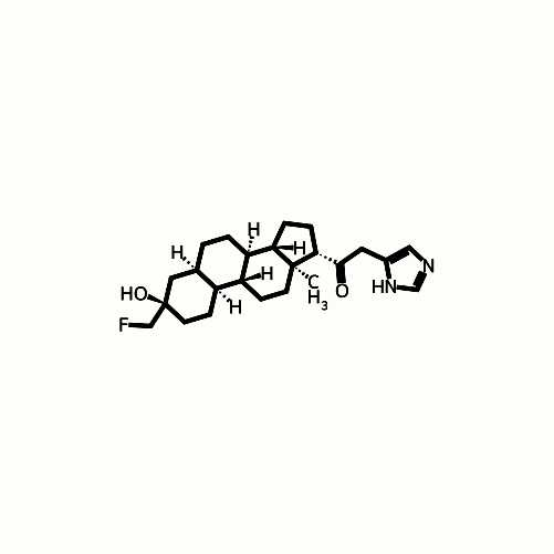 C[C@]12CC[C@H]3[C@@H](CC[C@@H]4C[C@@](O)(CF)CC[C@@H]43)[C@@H]1CC[C@@H]2C(=O)Cc1cnc[nH]1